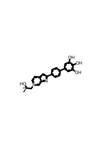 C[C@@H](O)Cn1ccc2cc(-c3ccc(-c4cc(O)c(O)c(O)c4)cc3)nc-2c1